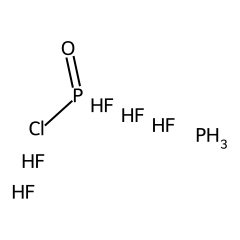 F.F.F.F.F.O=PCl.P